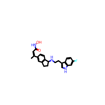 C/C(=C/C(=O)NO)c1ccc2c(c1)CCC2NCCc1c[nH]c2cc(F)ccc12